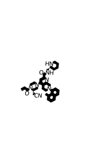 C=CC(=O)N1CCN(c2cc(C(=O)NC[C@H]3CCCCN3)nc3c2CCN(c2cccc4cccc(C)c24)C3)C[C@@H]1CC#N